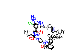 COc1ccc(C2=NN(C3CCN(C(=O)C(C)NC[C@@H](O)c4cc(N)c(N)c(Cl)c4)CC3)C(=O)[C@@H]3CC=CC[C@H]23)cc1OC.O=C(O)/C=C/C(=O)O